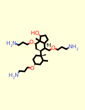 CC1C[C@H](OCCCN)CC[C@]1(C)[C@H]1C[C@H](OCCCN)C2(C)[C@@H](O)CC[C@H]2C1COCCCN